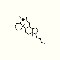 CCCCC1CCC2C(CCC)C(C3(C)CCCCC3NC)CCC12C